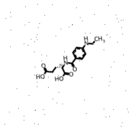 CCNc1ccc(C(=O)N[C@@H](CCC(=O)O)C(=O)O)cc1